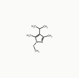 CSn1nc(C)c(C(C)C)c1C